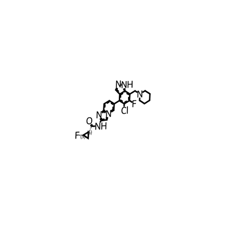 O=C(Nc1cn2cc(-c3c(Cl)c(F)c(CN4CCCCC4)c4[nH]ncc34)ccc2n1)[C@@H]1C[C@@H]1F